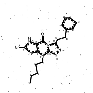 CCCCCn1c2nc(Br)[nH]c2c(=O)n2c(CCc3ccccc3)nnc12